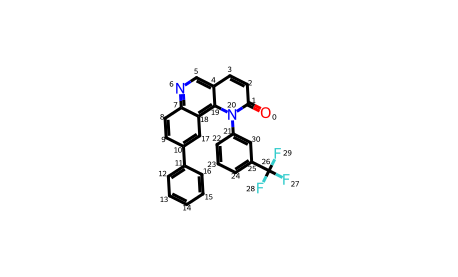 O=c1ccc2cnc3ccc(-c4ccccc4)cc3c2n1-c1cccc(C(F)(F)F)c1